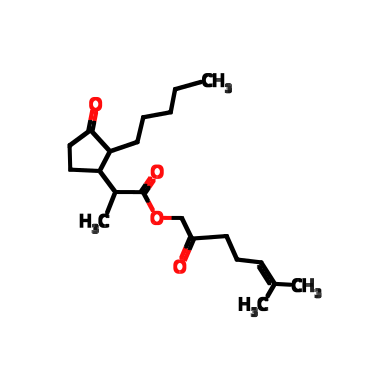 CCCCCC1C(=O)CCC1C(C)C(=O)OCC(=O)CCC=C(C)C